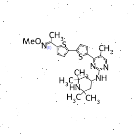 CO/N=C(\C)c1ccc(-c2ccc(-c3nc(NC4CC(C)(C)NC(C)(C)C4)ncc3C)s2)s1